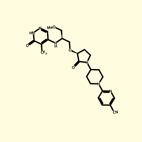 COC[C@@H](CO[C@H]1CCN(C2CCN(c3ccc(C#N)cn3)CC2)C1=O)Nc1cn[nH]c(=O)c1C(F)(F)F